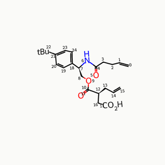 C=CCCC(=O)N[C@@H](COC(=O)[C@@H](CC=C)CC(=O)O)c1ccc(C(C)(C)C)cc1